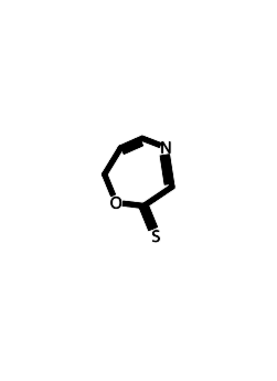 S=C1C=NC=CCO1